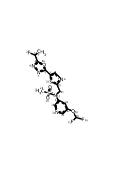 CC(F)c1nnc(-c2cnc(CN(c3cncc(OC(F)F)c3)S(C)(=O)=O)s2)o1